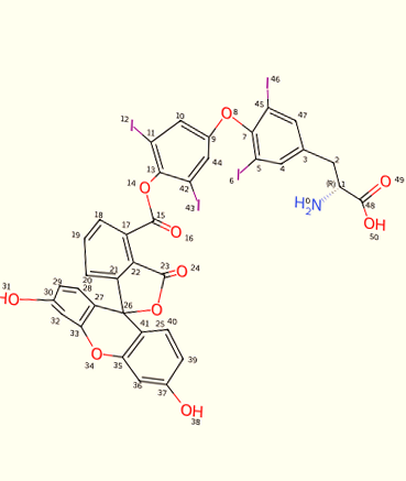 N[C@H](Cc1cc(I)c(Oc2cc(I)c(OC(=O)c3cccc4c3C(=O)OC43c4ccc(O)cc4Oc4cc(O)ccc43)c(I)c2)c(I)c1)C(=O)O